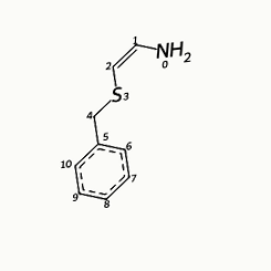 N/C=C\SCc1ccccc1